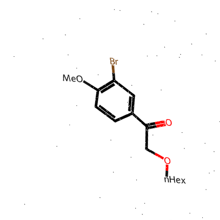 CCCCCCOCC(=O)c1ccc(OC)c(Br)c1